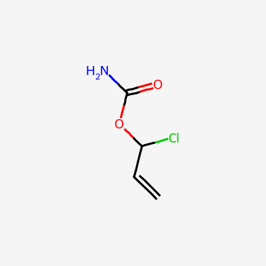 C=CC(Cl)OC(N)=O